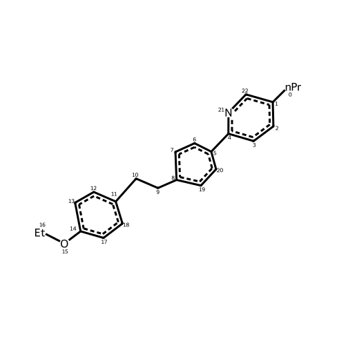 CCCc1ccc(-c2ccc(CCc3ccc(OCC)cc3)cc2)nc1